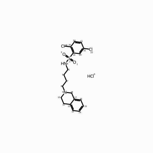 Cl.O=S(=O)(NCCCCN1CCc2ccccc2C1)c1cc(Cl)ccc1Cl